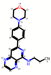 N#CCCNc1nc(-c2ccc(N3CCOCC3)cc2)cc2nccnc12